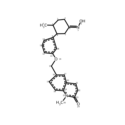 CC1CC/C(=N\O)CC1c1cccc(OCc2ccc3c(ccc(=O)n3C)c2)c1